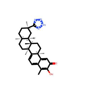 CC1=C(O)C(=O)C=C2C1=CC=C1[C@@]2(C)CC[C@@]2(C)[C@@H]3C[C@](C)(c4nn[nH]n4)CC[C@]3(C)CC[C@]12C